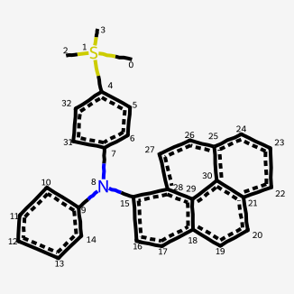 CS(C)(C)c1ccc(N(c2ccccc2)c2ccc3ccc4cccc5ccc2c3c45)cc1